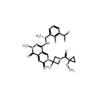 COC1(C(=O)N2CC(C)(n3cc4c(N[C@H](C)c5cccc(C(F)F)c5F)nn(C)c(=O)c4cc3=O)C2)CC1